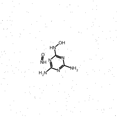 N=O.Nc1nc(N)nc(NO)n1